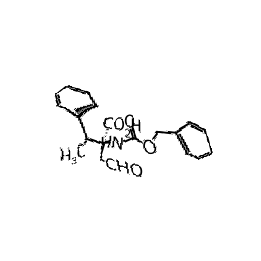 CC(c1ccccc1)[C@](CC=O)(NC(=O)OCc1ccccc1)C(=O)O